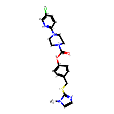 Cn1ccnc1SCc1ccc(OC(=O)N2CCN(c3ccc(Cl)cn3)CC2)cc1